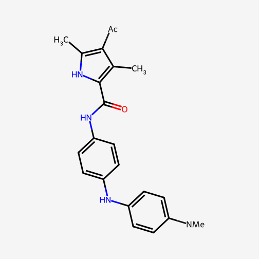 CNc1ccc(Nc2ccc(NC(=O)c3[nH]c(C)c(C(C)=O)c3C)cc2)cc1